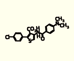 CN(C)c1ccc(C(=O)Nc2csc(-c3ccc(Cl)cc3)c2C(=O)O)cc1